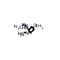 C/N=N\Nc1cc(OC)ccc1NC=N